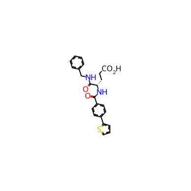 O=C(O)CC[C@H](NC(=O)c1ccc(-c2cccs2)cc1)C(=O)NCc1ccccc1